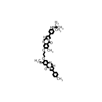 COc1cc2c(cc1OCCCOc1cc3c(cc1C)C(=O)N1C=C(c4ccc(NC(C)(C)C)cc4)C[C@H]1C=N3)N=C[C@@H]1CC(c3ccc(C)cc3)=CN1C2=O